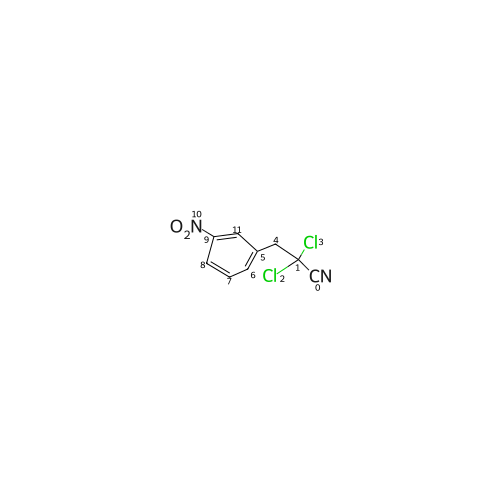 N#CC(Cl)(Cl)Cc1cccc([N+](=O)[O-])c1